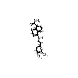 NC(=O)c1ccnc2c(NCCc3ccc(C(F)(F)F)c(C(F)(F)F)c3)ncnc12